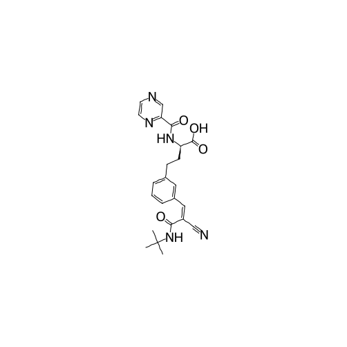 CC(C)(C)NC(=O)C(C#N)=Cc1cccc(CC[C@@H](NC(=O)c2cnccn2)C(=O)O)c1